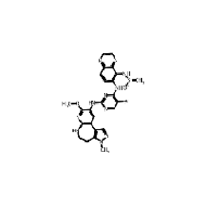 COc1nc2c(cc1Nc1ncc(Br)c(Nc3ccc4nccnc4c3N[S+](C)[O-])n1)-c1cnn(C)c1CCN2